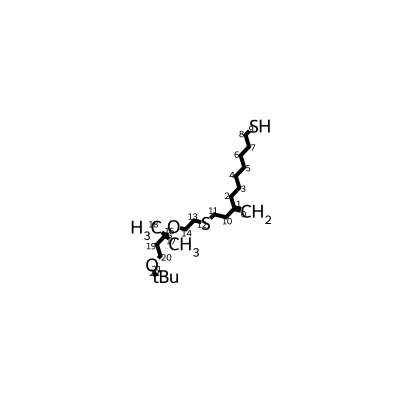 C=C(CCCCCCCS)CCSCCOC(C)(C)CCOC(C)(C)C